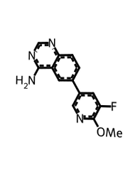 COc1ncc(-c2ccc3ncnc(N)c3c2)cc1F